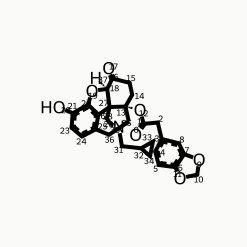 O=C(Cc1ccc2c(c1)OCO2)O[C@@]12CCC(=O)[C@@H]3Oc4c(O)ccc5c4C31CCN(CC1CC1)C2C5